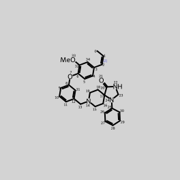 C/C=C\c1ccc(Oc2cccc(CN3CCC4(CC3)C(=O)NCN4c3ccccc3)c2)c(OC)c1